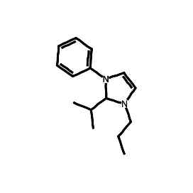 CCCN1C=CN(c2ccccc2)C1C(C)C